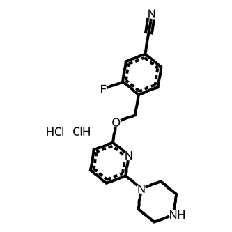 Cl.Cl.N#Cc1ccc(COc2cccc(N3CCNCC3)n2)c(F)c1